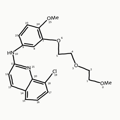 COCCOCCOc1cc(Nc2ccc3cccc(Cl)c3n2)ccc1OC